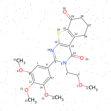 COCCn1c(-c2cc(OC)c(OC)c(OC)c2)nc2sc3c(c2c1=O)CCCC3=O